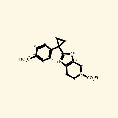 CCOC(=O)N1CCc2nc(C3(c4ccc(C(=O)O)cc4)CC3)sc2C1